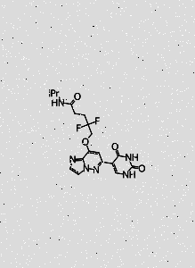 CC(C)NC(=O)CCC(F)(F)COc1cc(-c2c[nH]c(=O)[nH]c2=O)nn2ccnc12